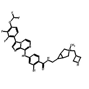 CCc1cc(Nc2nccn3c(-c4ccc(OC(F)F)c(F)c4F)cnc23)ccc1C(=O)NCC1C2C[N+](C)(CC3CNC3)CC12